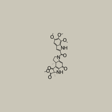 COC(=O)[C@]1(C)NC2=C(C1=O)[C@@]1(C)CCN(C(=O)c3cc4cc(OC)c(OC)c(OC)c4[nH]3)C1=CC2=O